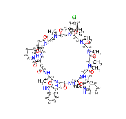 CCCC[C@@H]1NC(=O)[C@H](Cc2c[nH]c3ccccc23)NC(=O)[C@H](C)NC(=O)C[C@@H](C(=O)N2CCCCC2)NC(=O)[C@@H]2CCCN2C(=O)CN(C)C(=O)[C@H](Cc2cccc(Cl)c2)N(C)C(=O)[C@H](C)N(C)C(=O)CN(C)C(=O)[C@H](C)N(C)C(=O)[C@H](Cc2c[nH]c3ccccc23)NC1=O